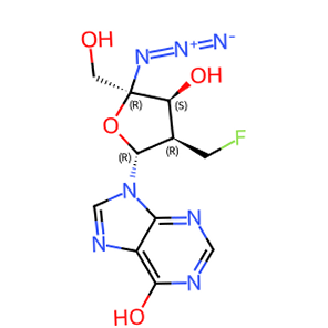 [N-]=[N+]=N[C@]1(CO)O[C@@H](n2cnc3c(O)ncnc32)[C@H](CF)[C@@H]1O